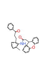 Cc1cccc(CCC(=O)c2ccccc2)c1NC(=O)CC1c2ccccc2Oc2ccccc21